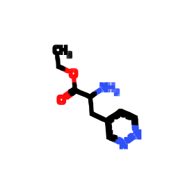 CCOC(=O)C(N)Cc1ccnnc1